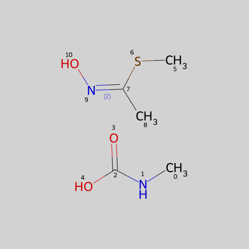 CNC(=O)O.CS/C(C)=N\O